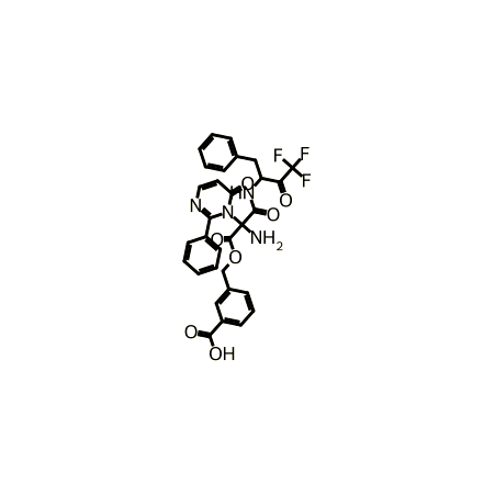 NC(C(=O)NC(Cc1ccccc1)C(=O)C(F)(F)F)(C(=O)OCc1cccc(C(=O)O)c1)n1c(-c2ccccc2)nccc1=O